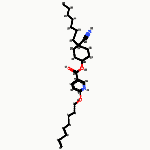 CCCCCCCCOc1ccc(C(=O)OC2CCC(C#N)(CCCCCCC)CC2)cn1